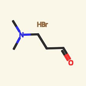 Br.CN(C)CCC=O